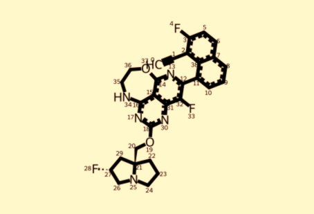 C#Cc1c(F)ccc2cccc(-c3nc4c5c(nc(OC[C@@]67CCCN6C[C@H](F)C7)nc5c3F)NCCO4)c12